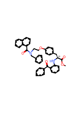 COC(=O)[C@H](Cc1ccc(OCCN(Cc2ccccc2)C(=O)c2cccc3ccccc23)cc1)Nc1ccccc1C(=O)c1ccccc1